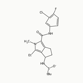 CCc1c2c(c(C(=O)Nc3ccc(F)c(Cl)c3)n1C)CCC2N[S+]([O-])C(C)(C)C